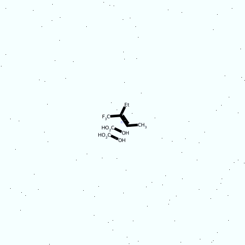 C/C=C(\CC)C(F)(F)F.O=C(O)O.O=C(O)O